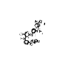 Cc1cc(Nc2ncc(Cl)c(Nc3cccc(S(=O)(=O)NC(C)(C)C)c3)n2)ccc1N1C[C@@H]2C[C@H]1CN2C